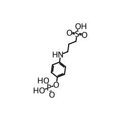 O=P(O)(O)Oc1ccc(NCCCS(=O)(=O)O)cc1